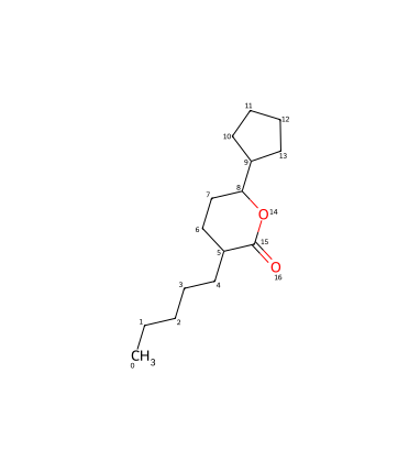 CCCCCC1CCC(C2CCCC2)OC1=O